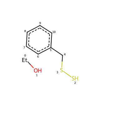 CCO.SSCc1ccccc1